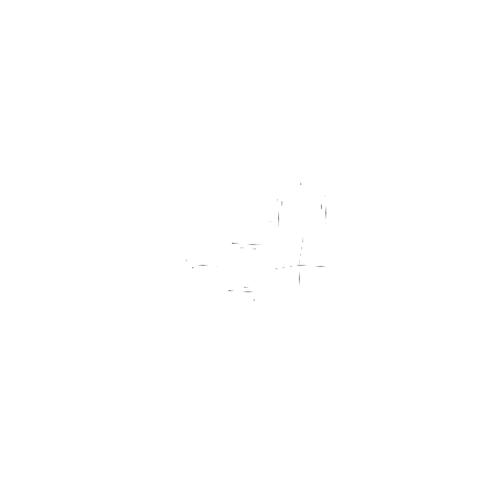 CC1(C)c2ccccc2-c2cc(N)cc(I)c21